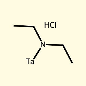 CC[N]([Ta])CC.Cl